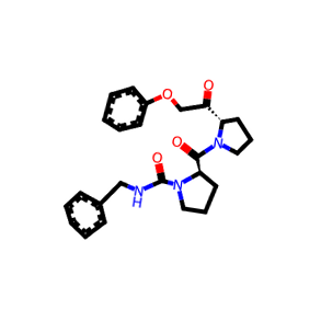 O=C(COc1ccccc1)[C@@H]1CCCN1C(=O)[C@H]1CCCN1C(=O)NCc1ccccc1